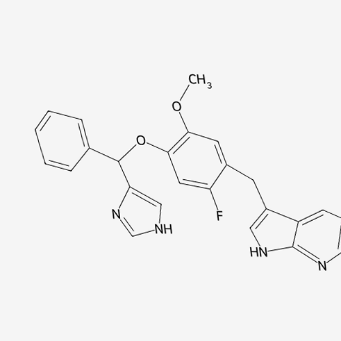 COc1cc(Cc2c[nH]c3ncccc23)c(F)cc1OC(c1ccccc1)c1c[nH]cn1